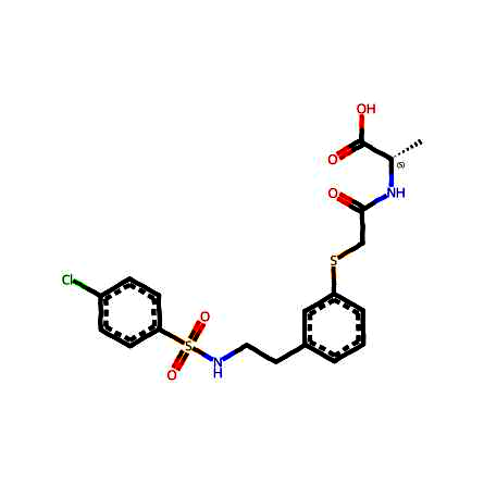 C[C@H](NC(=O)CSc1cccc(CCNS(=O)(=O)c2ccc(Cl)cc2)c1)C(=O)O